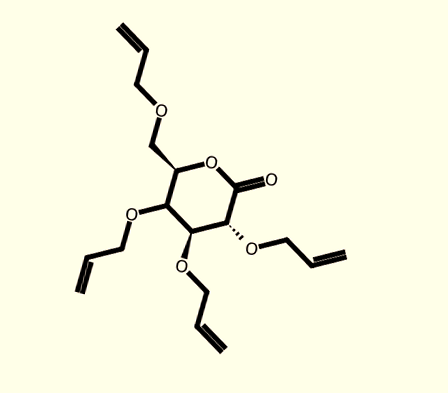 C=CCOC[C@H]1OC(=O)[C@H](OCC=C)[C@@H](OCC=C)C1OCC=C